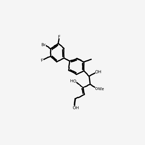 COC(/C(O)=C/CO)C(O)c1ccc(-c2cc(F)c(Br)c(F)c2)cc1C